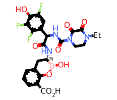 CCN1CCN(C(=O)NC(C(=O)N[C@H]2Cc3cccc(C(=O)O)c3OB2O)c2cc(F)c(O)c(F)c2F)C(=O)C1=O